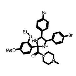 CCOc1cc(OC)ccc1C1(C(=O)N2CCN(C)CC2)NC(c2ccc(Br)cc2)C(c2ccc(Br)cc2)N1